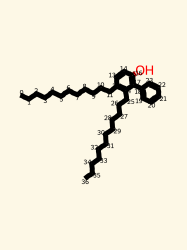 CCCCCCCCCCCCc1ccc(O)c(-c2ccccc2)c1CCCCCCCCCCCC